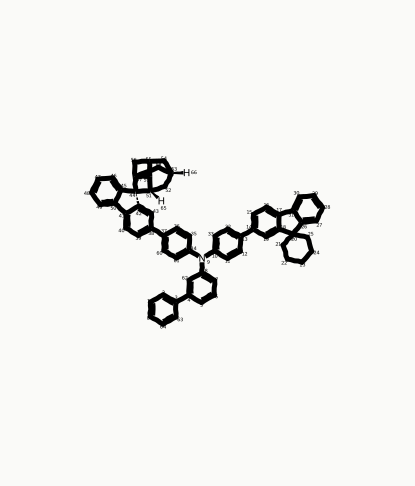 c1ccc(-c2cccc(N(c3ccc(-c4ccc5c(c4)C4(CCCCC4)c4ccccc4-5)cc3)c3ccc(-c4ccc5c(c4)[C@@]4(c6ccccc6-5)[C@H]5C[C@H]6CC7CC4(C6)C75)cc3)c2)cc1